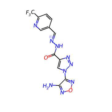 Nc1nonc1-n1cc(C(=O)N/N=C/c2ccc(C(F)(F)F)nc2)nn1